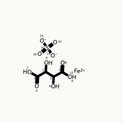 O=C(O)C(O)C(O)C(=O)O.O=S(=O)([O-])[O-].[Fe+2]